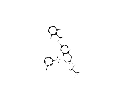 Cc1cccc(S(=O)(=O)N2C[C@H](NC(=O)[C@H](C)O)Cc3ncc(NC(=O)c4c(Cl)cccc4Cl)cc32)c1